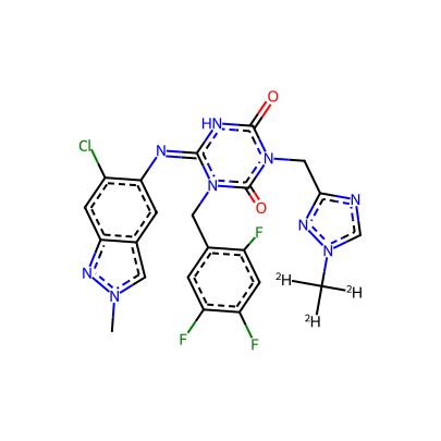 [2H]C([2H])([2H])n1cnc(Cn2c(=O)[nH]c(=Nc3cc4cn(C)nc4cc3Cl)n(Cc3cc(F)c(F)cc3F)c2=O)n1